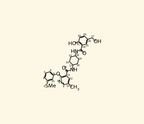 CSc1cccc(Oc2ncc(C)cc2C(=O)NC2CCC(NC(=O)c3cc(CO)ccc3O)CC2)c1